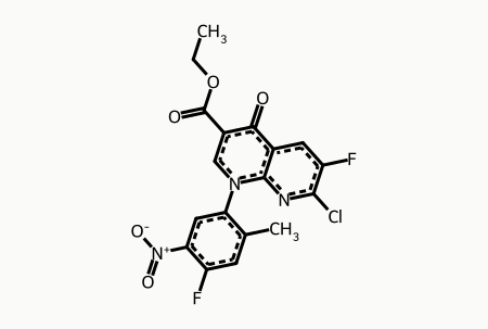 CCOC(=O)c1cn(-c2cc([N+](=O)[O-])c(F)cc2C)c2nc(Cl)c(F)cc2c1=O